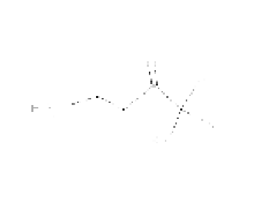 CC(C)(Cl)C(=O)CCC(=O)O